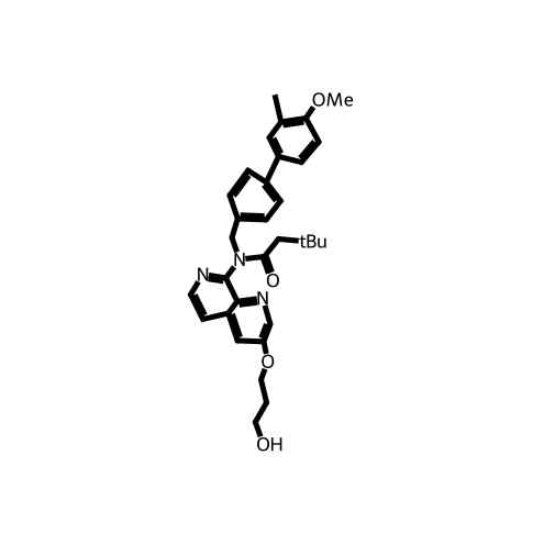 COc1ccc(-c2ccc(CN(C(=O)CC(C)(C)C)c3nccc4cc(OCCCO)cnc34)cc2)cc1C